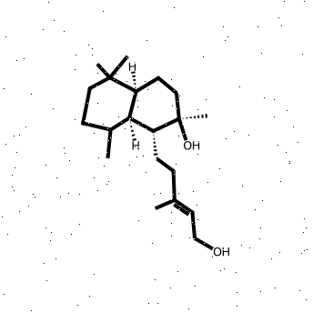 C/C(=C\CO)CC[C@@H]1[C@H]2C(C)CCC(C)(C)[C@H]2CC[C@@]1(C)O